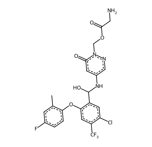 Cc1cc(F)ccc1Oc1cc(C(F)(F)F)c(Cl)cc1C(O)Nc1cnn(COC(=O)CN)c(=O)c1